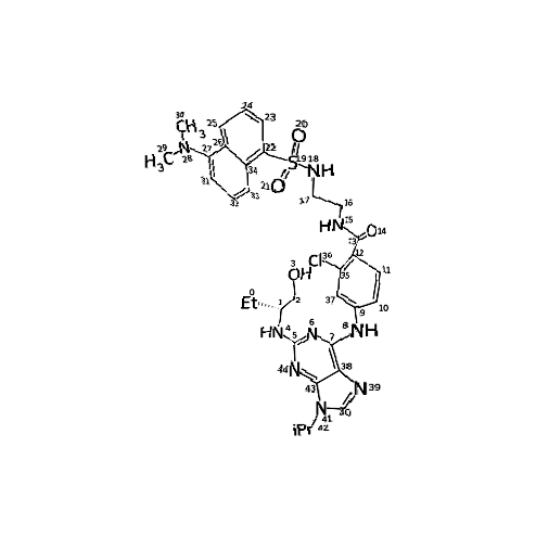 CC[C@H](CO)Nc1nc(Nc2ccc(C(=O)NCCNS(=O)(=O)c3cccc4c(N(C)C)cccc34)c(Cl)c2)c2ncn(C(C)C)c2n1